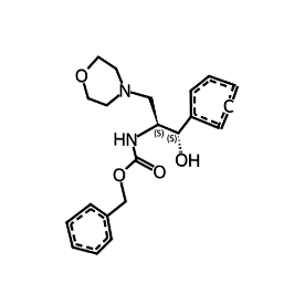 O=C(N[C@@H](CN1CCOCC1)[C@@H](O)c1ccccc1)OCc1ccccc1